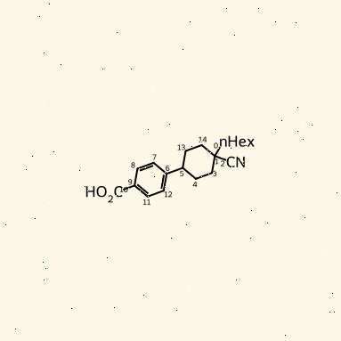 CCCCCCC1(C#N)CCC(c2ccc(C(=O)O)cc2)CC1